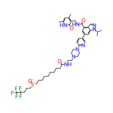 Cc1cc(C)c(CNC(=O)c2cc(-c3ccc(N4CCN(CCNC(=O)CCCCCCCCC[S+]([O-])CCCC(F)(F)C(F)(F)F)CC4)nc3)cc3c2cnn3C(C)C)c(=O)[nH]1